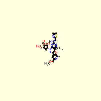 COCc1cc2cc(-c3c(C)nc(NCc4nccs4)nc3N[C@@H]3C[C@H](CO)[C@@H](O)[C@H]3O)oc2cn1